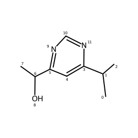 CC(C)c1cc(C(C)O)ncn1